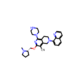 CN1CCC[C@H]1COc1nc(N2CCNCC2)c2c(c1C#N)CN(c1cccc3cccnc13)CC2